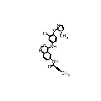 CC#CC(=O)Nc1ccc2ncnc(Nc3ccc(Sc4nccn4C)c(Cl)c3)c2c1